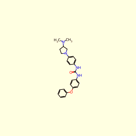 CN(C)C1CCN(c2ccc(NC(=O)Nc3ccc(Oc4ccccc4)cc3)cc2)C1